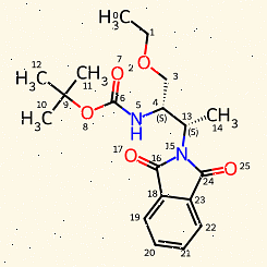 CCOC[C@@H](NC(=O)OC(C)(C)C)[C@H](C)N1C(=O)c2ccccc2C1=O